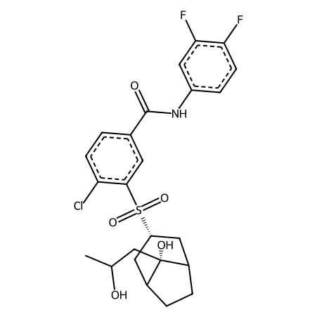 CC(O)C[C@]1(O)C2CCC1C[C@@H](S(=O)(=O)c1cc(C(=O)Nc3ccc(F)c(F)c3)ccc1Cl)C2